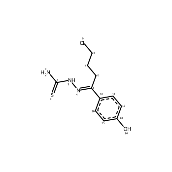 NC(=S)NN=C(CCCCl)c1ccc(O)cc1